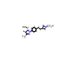 C[C@@H]1C(C(F)(F)F)=NN(c2ccc(CCC3CN(C(=O)O)C3)cc2)[C@H]1CC#N